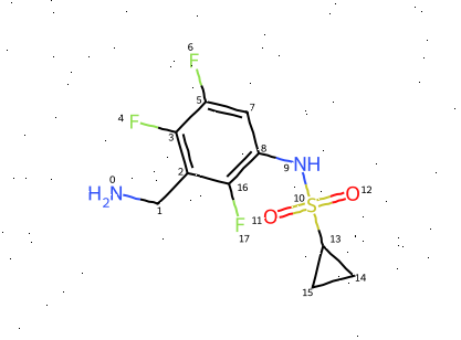 NCc1c(F)c(F)cc(NS(=O)(=O)C2CC2)c1F